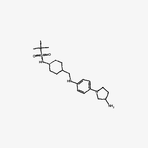 CC(C)(C)S(=O)(=O)NC1CCC(CNc2ccc(N3CCC(N)C3)cc2)CC1